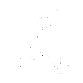 N#Cc1ccc(N2CCc3c(C(N)=O)nn(-c4ccc5occc5c4)c3C2=O)cc1